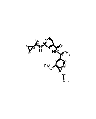 CCOc1cc(C(C)NC(=O)c2ccnc(NC(=O)C3CC3)n2)cnc1OCC(F)(F)F